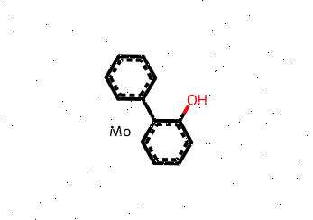 Oc1ccccc1-c1ccccc1.[Mo]